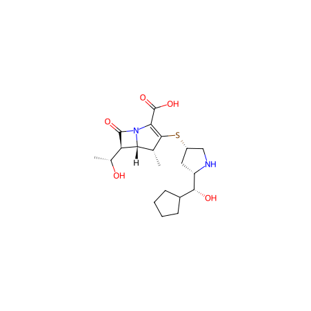 C[C@@H](O)[C@H]1C(=O)N2C(C(=O)O)=C(S[C@@H]3CN[C@H]([C@H](O)C4CCCC4)C3)[C@H](C)[C@H]12